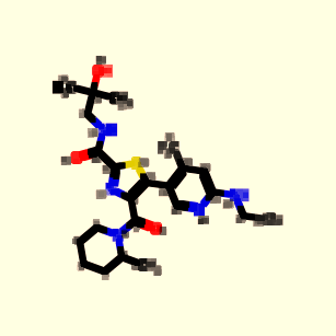 CC1CCCCN1C(=O)c1nc(C(=O)NCC(C)(C)O)sc1-c1cnc(NCC(C)(C)C)cc1C(F)(F)F